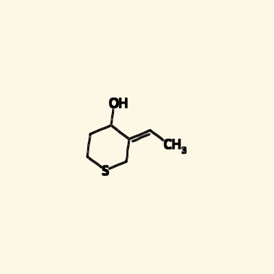 C/C=C1\CSCCC1O